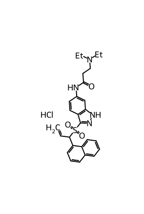 C=CC(c1cccc2ccccc12)S(=O)(=O)c1n[nH]c2cc(NC(=O)CCN(CC)CC)ccc12.Cl